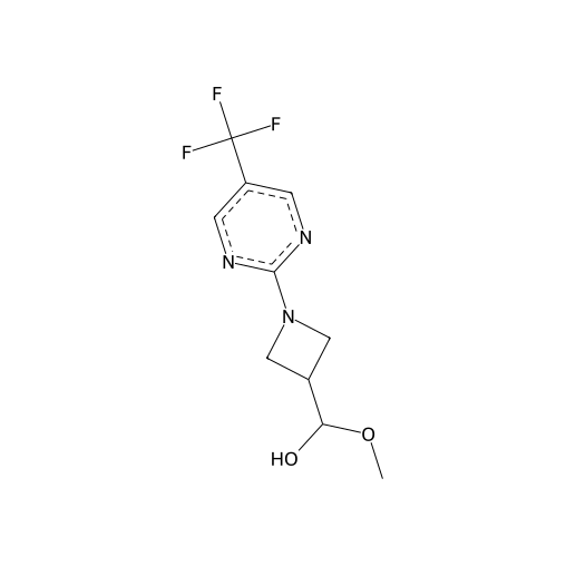 COC(O)C1CN(c2ncc(C(F)(F)F)cn2)C1